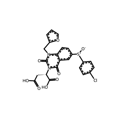 O=C(O)C[C@@H](C(=O)O)n1c(=O)c2cc([S+]([O-])c3ccc(Cl)cc3)ccc2n(Cc2ccco2)c1=O